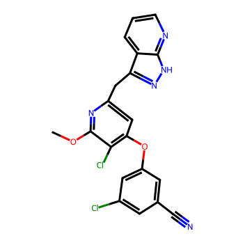 COc1nc(Cc2n[nH]c3ncccc23)cc(Oc2cc(Cl)cc(C#N)c2)c1Cl